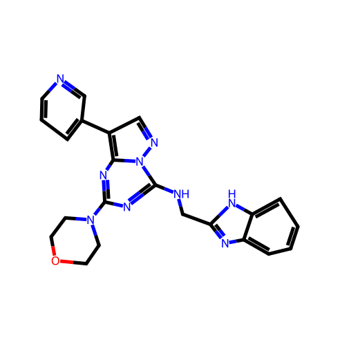 c1cncc(-c2cnn3c(NCc4nc5ccccc5[nH]4)nc(N4CCOCC4)nc23)c1